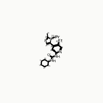 CCc1cnc(NC(=O)NC2CCCCC2)cc1-c1cnc(C)n1C(C)C